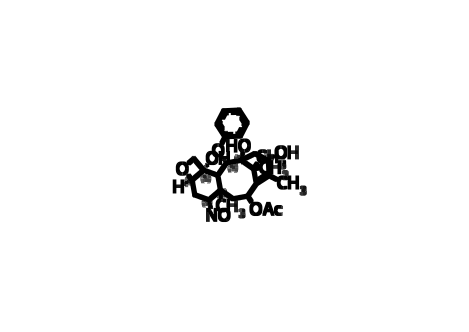 CC(=O)OC1C[C@@]2(C)C([C@H](Oc3ccccc3)[C@]3(O)C[C@H](O)C(C)=C1C3(C)C)[C@]1(O)CO[C@@H]1C[C@@H]2N=O